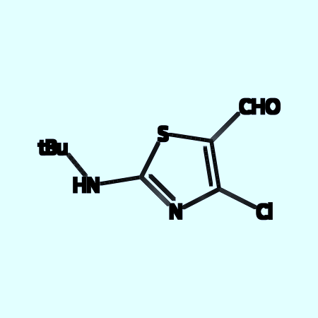 CC(C)(C)Nc1nc(Cl)c(C=O)s1